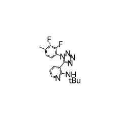 Cc1ccc(-n2nnnc2-c2cccnc2NC(C)(C)C)c(F)c1F